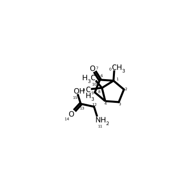 CC12CCC(CC1=O)C2(C)C.NCC(=O)O